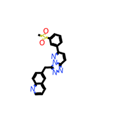 CS(=O)(=O)c1cccc(-c2ccc3nnc(Cc4ccc5ncccc5c4)n3n2)c1